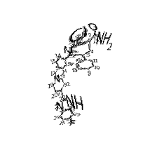 NC(=O)c1cc(-c2ccccc2)c(-c2ccc(CN3CCC(c4nc5ccc(F)cc5[nH]4)CC3)cc2)nc1Cl